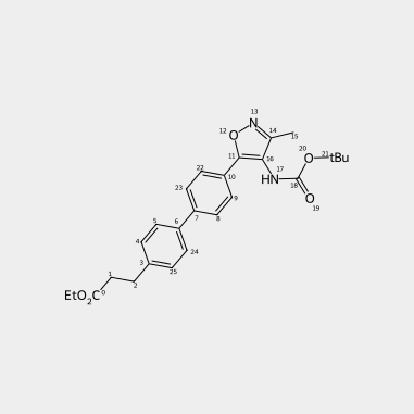 CCOC(=O)CCc1ccc(-c2ccc(-c3onc(C)c3NC(=O)OC(C)(C)C)cc2)cc1